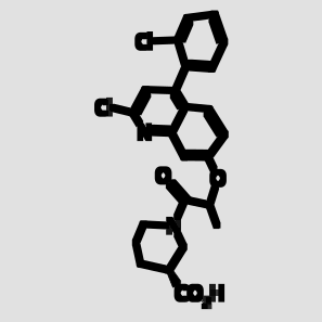 CC(Oc1ccc2c(-c3ccccc3Cl)cc(Cl)nc2c1)C(=O)N1CCC[C@H](C(=O)O)C1